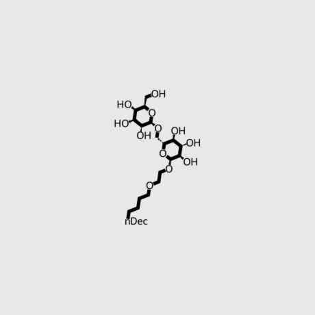 CCCCCCCCCCCCCCOCCO[C@H]1O[C@H](CO[C@@H]2O[C@H](CO)[C@H](O)[C@H](O)[C@H]2O)[C@@H](O)[C@H](O)[C@H]1O